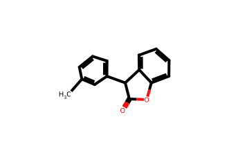 Cc1cccc(C2C(=O)Oc3ccccc32)c1